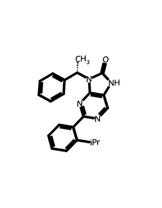 CC(C)c1ccccc1-c1ncc2[nH]c(=O)n([C@@H](C)c3ccccc3)c2n1